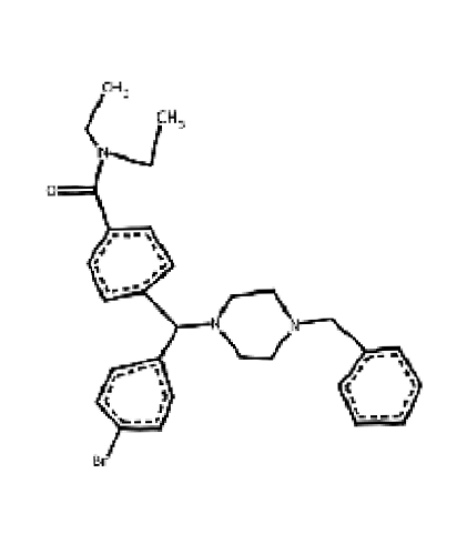 CCN(CC)C(=O)c1ccc(C(c2ccc(Br)cc2)N2CCN(Cc3ccccc3)CC2)cc1